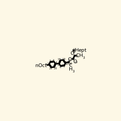 CCCCCCCCc1ccc(-c2ccc(C(C)OC(=O)C(C)OCCCCCCC)cc2)cc1